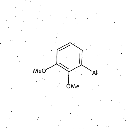 COc1ccc[c]([Al])c1OC